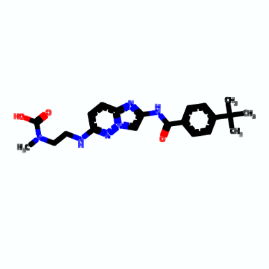 CN(CCNc1ccc2nc(NC(=O)c3ccc(C(C)(C)C)cc3)cn2n1)C(=O)O